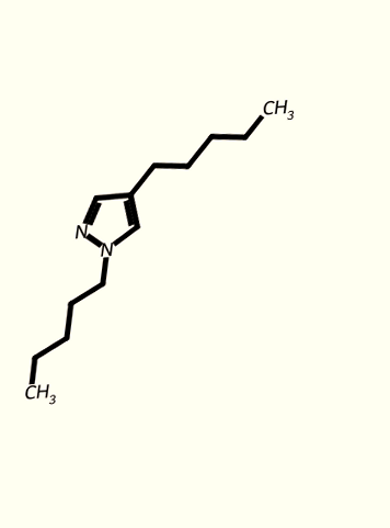 CCCCCc1cnn(CCCCC)c1